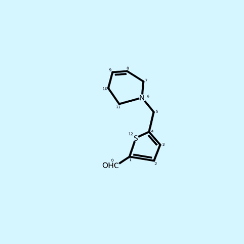 O=Cc1ccc(CN2CC=CCC2)s1